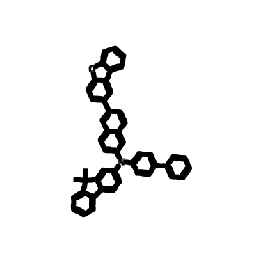 CC1(C)c2ccccc2-c2ccc(N(c3ccc(-c4ccccc4)cc3)c3ccc4cc(-c5ccc6oc7ccccc7c6c5)ccc4c3)cc21